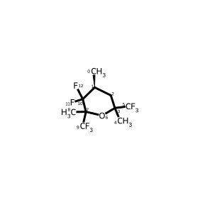 C[C@H]1CC(C)(C(F)(F)F)OC(C)(C(F)(F)F)C1(F)F